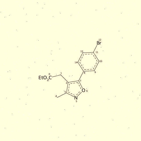 CCOC(=O)Cc1c(C)noc1-c1ccc(Br)cc1